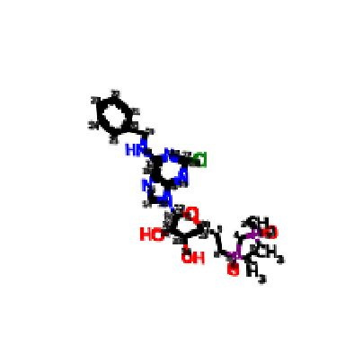 CP(C)(=O)CP(C)(=O)CC[C@H]1O[C@@H](n2cnc3c(NCc4ccccc4)nc(Cl)nc32)[C@@H](O)C1O